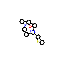 c1ccc(-c2cc(-c3ccc4c(c3)sc3ccccc34)nc(-c3cccc4c3oc3c4ccc4c5ccccc5n(-c5ccccc5)c43)n2)cc1